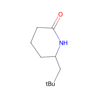 CC(C)(C)CC1CCCC(=O)N1